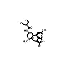 CCN(CC)C(=O)N[C@H]1CC2c3cc(C)cc4[nH]c(Br)c(c34)C[C@H]2N(C)C1